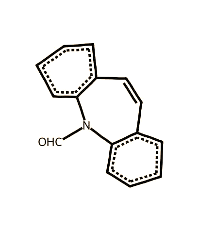 O=CN1c2ccccc2C=Cc2ccccc21